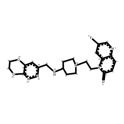 O=c1ccc2ncc(F)cc2n1CCN1CCC(NCc2cc3c(nn2)OCCO3)CC1